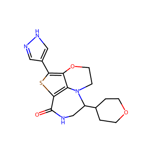 O=C1NCC(C2CCOCC2)N2CCOc3c(-c4cn[nH]c4)sc1c32